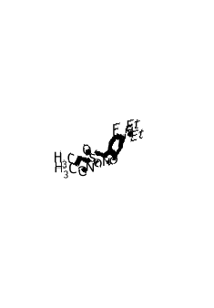 CCN(CC)c1cc2onc(CS(=O)(=O)C3=NOC(C)(C)C3)c2cc1F